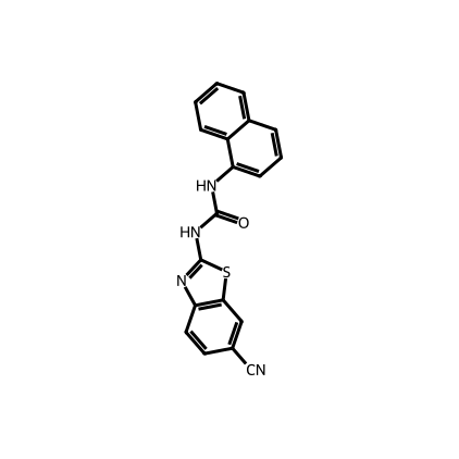 N#Cc1ccc2nc(NC(=O)Nc3cccc4ccccc34)sc2c1